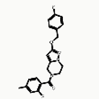 Cc1ccc(C(=O)N2CCn3nc(OCc4ccc(F)cc4)cc3C2)c(F)c1